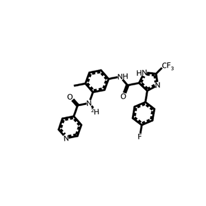 [2H]N(C(=O)c1ccncc1)c1cc(NC(=O)c2[nH]c(C(F)(F)F)nc2-c2ccc(F)cc2)ccc1C